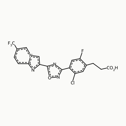 O=C(O)CCc1cc(Cl)c(-c2noc(-c3cn4cc(C(F)(F)F)ccc4n3)n2)cc1F